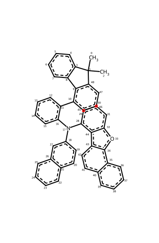 CC1(C)c2ccccc2-c2c(-c3ccccc3N(c3ccc4ccccc4c3)c3cccc4oc5c6ccccc6ccc5c34)cccc21